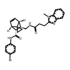 Cn1c(CCC(=O)NC[C@H]2[C@H](C(=O)Nc3ccc(Br)cc3)[C@@H]3C=C[C@H]2C32CC2)nc2ccccc21